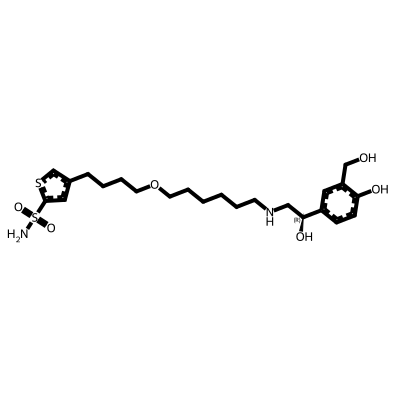 NS(=O)(=O)c1cc(CCCCOCCCCCCNC[C@H](O)c2ccc(O)c(CO)c2)cs1